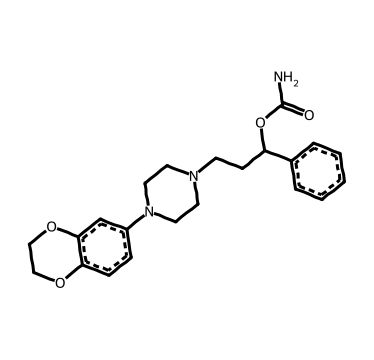 NC(=O)OC(CCN1CCN(c2ccc3c(c2)OCCO3)CC1)c1ccccc1